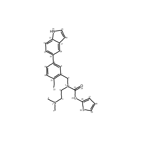 CN(C)CCN(Cc1cc(-c2ccc3[nH]ccc3c2)ccc1F)C(=O)Oc1cccs1